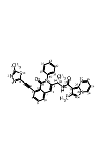 Cc1nnc(C#Cc2cccc3cc([C@H](C)NC(=O)c4c(C)nn5cccnc45)n(-c4ccccc4)c(=O)c23)s1